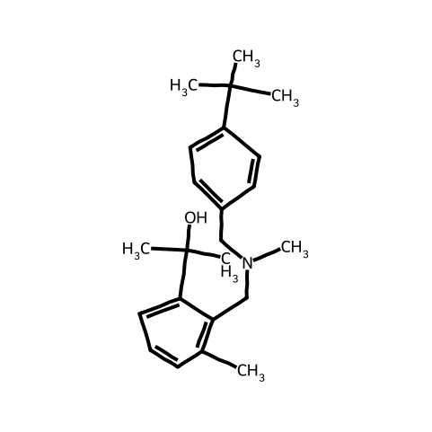 Cc1cccc(C(C)(C)O)c1CN(C)Cc1ccc(C(C)(C)C)cc1